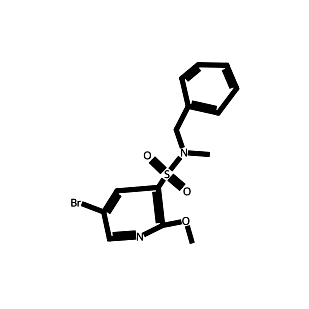 COc1ncc(Br)cc1S(=O)(=O)N(C)Cc1ccccc1